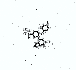 CCS(=O)(=O)Nc1ccc(Oc2ccc(F)cc2F)c(-c2cn(C)c(=O)c3ocnc23)c1